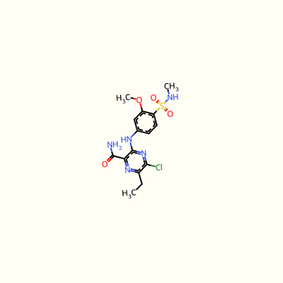 CCc1nc(C(N)=O)c(Nc2ccc(S(=O)(=O)NC)c(OC)c2)nc1Cl